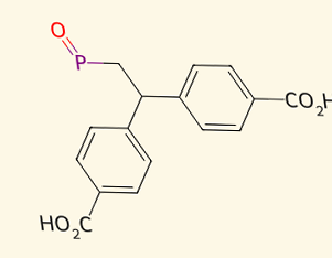 O=PCC(c1ccc(C(=O)O)cc1)c1ccc(C(=O)O)cc1